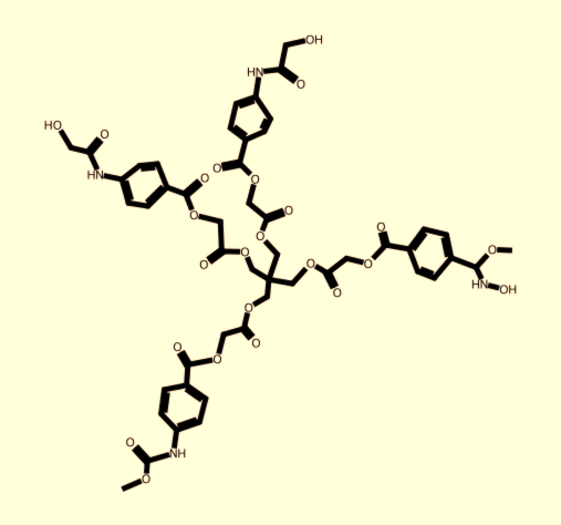 COC(=O)Nc1ccc(C(=O)OCC(=O)OCC(COC(=O)COC(=O)c2ccc(NC(=O)CO)cc2)(COC(=O)COC(=O)c2ccc(NC(=O)CO)cc2)COC(=O)COC(=O)c2ccc(C(NO)OC)cc2)cc1